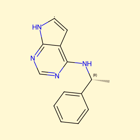 C[C@@H](Nc1ncnc2[nH][c]cc12)c1ccccc1